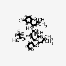 CC1(C)CC(=O)N([C@H](c2cccnc2)[C@@H]2C[C@H]2C(=O)N[C@H]2CC(C)(C)Oc3ccc(Cl)cc32)C(=N)N1.O=C(O)C(F)(F)F